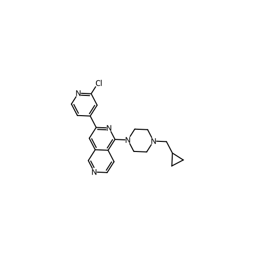 Clc1cc(-c2cc3cnccc3c(N3CCN(CC4CC4)CC3)n2)ccn1